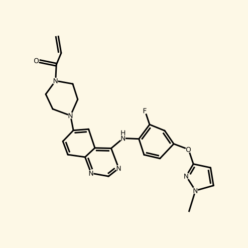 C=CC(=O)N1CCN(c2ccc3ncnc(Nc4ccc(Oc5ccn(C)n5)cc4F)c3c2)CC1